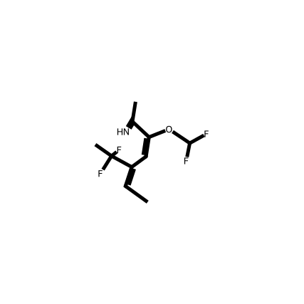 C/C=C(\C=C(\OC(F)F)C(C)=N)C(C)(F)F